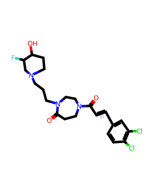 O=C(/C=C/c1ccc(Cl)c(Cl)c1)N1CCC(=O)N(CCCN2CCC(O)C(F)C2)CC1